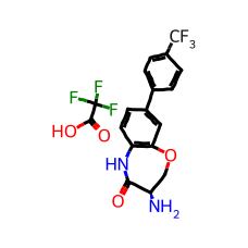 N[C@@H]1COc2cc(-c3ccc(C(F)(F)F)cc3)ccc2NC1=O.O=C(O)C(F)(F)F